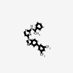 CC(Nc1nccc(-n2cnc3cc(-c4cc(C(F)(F)F)cc(C(F)(F)F)c4)ccc32)n1)c1ccccc1